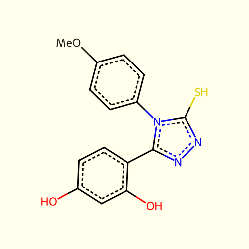 COc1ccc(-n2c(S)nnc2-c2ccc(O)cc2O)cc1